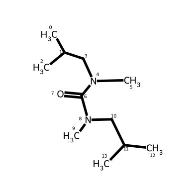 CC(C)CN(C)C(=O)N(C)CC(C)C